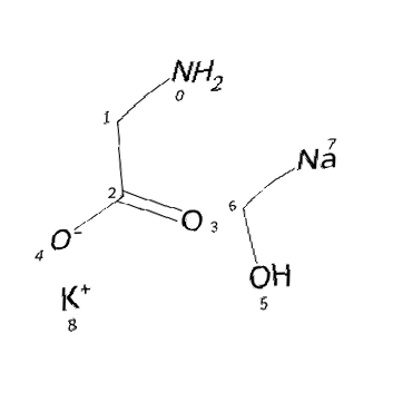 NCC(=O)[O-].O[CH2][Na].[K+]